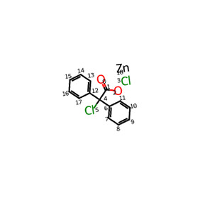 O=C(OCl)C(Cl)(c1ccccc1)c1ccccc1.[Zn]